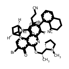 C[C@H](Oc1nc2c(F)c(-c3cccc4c3C(C#N)CCC4)c(CCC#N)cc2c2c1c(=O)c(Br)cn2[C@H]1[C@@H]2C[C@H]1N(C(=O)OC(C)(C)C)C2)[C@@H]1CCCN1C